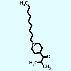 CCCCCCCCCN1CCC(C(=O)C(C)C)CC1